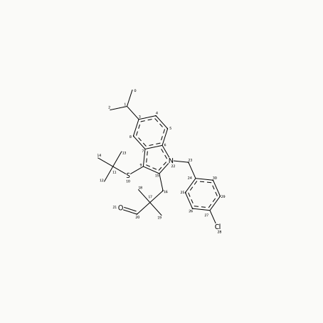 CC(C)c1ccc2c(c1)c(SC(C)(C)C)c(CC(C)(C)C=O)n2Cc1ccc(Cl)cc1